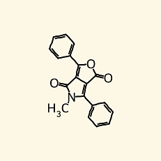 CN1C(=O)C2=C(c3ccccc3)OC(=O)C2=C1c1ccccc1